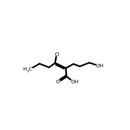 CCCC(Cl)=C(CCCO)C(=O)O